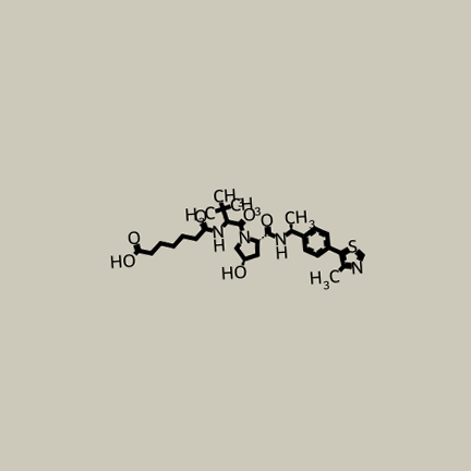 Cc1ncsc1-c1ccc([C@H](C)NC(=O)[C@@H]2C[C@@H](O)CN2C(=O)C(NC(=O)CCCCCC(=O)O)C(C)(C)C)cc1